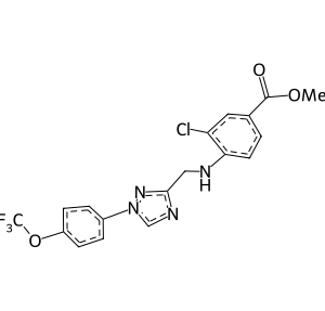 COC(=O)c1ccc(NCc2ncn(-c3ccc(OC(F)(F)F)cc3)n2)c(Cl)c1